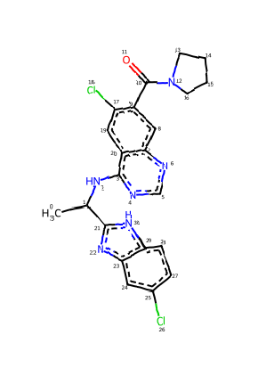 CC(Nc1ncnc2cc(C(=O)N3CCCC3)c(Cl)cc12)c1nc2cc(Cl)ccc2[nH]1